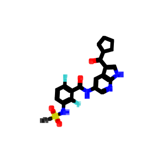 CCCS(=O)(=O)Nc1ccc(F)c(C(=O)Nc2cnc3[nH]cc(C(=O)C4CCCC4)c3c2)c1F